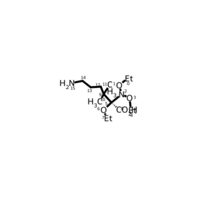 CCON(OCC)[C@](OCC)(C(=O)O)C(C)(C)CCCN